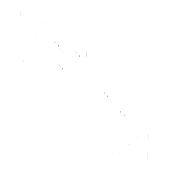 COC(=O)c1nc(Nc2ccc(N3CCN(C(=O)OC(C)(C)C)CC3)cc2)ncc1Cl